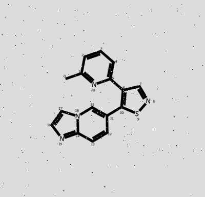 Cc1cccc(-c2cnsc2-c2ccc3nccn3c2)n1